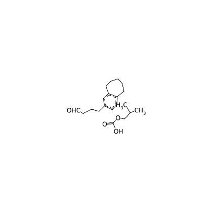 CC(C)COC(=O)O.O=CCCCc1ccc2c(c1)CCCCC2